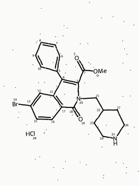 COC(=O)c1c(-c2ccccc2)c2cc(Br)ccc2c(=O)n1CC1CCNCC1.Cl